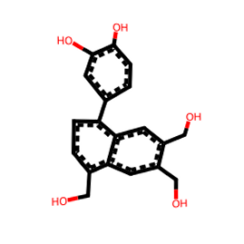 OCc1cc2c(CO)ccc(-c3ccc(O)c(O)c3)c2cc1CO